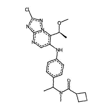 CO[C@@H](C)c1c(Nc2ccc(C(C)N(C)C(=O)C3CCC3)cc2)cnc2nc(Cl)nn12